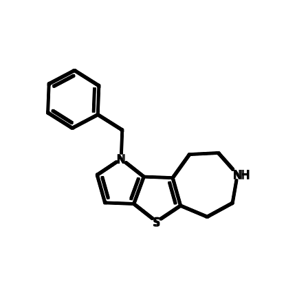 c1ccc(Cn2ccc3sc4c(c32)CCNCC4)cc1